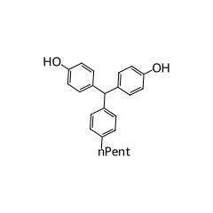 CCCCCc1ccc(C(c2ccc(O)cc2)c2ccc(O)cc2)cc1